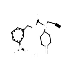 C#CCN(C(=O)OCc1cccc([N+](=O)[O-])c1)C1CCNCC1.Cl